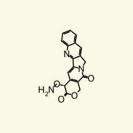 NO[C@@H]1C(=O)OCc2c1cc1n(c2=O)Cc2cc3ccccc3nc2-1